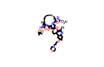 CCc1nc2ccc(OCCCN3CCOCC3)cc2c2c1O[C@]1(CC2)C[C@H]2C(=O)N[C@]3(C(=O)NS(=O)(=O)C4(C)CC4)C[C@H]3C=CCCCCC[C@H](NC(=O)O)C(=O)N2C1